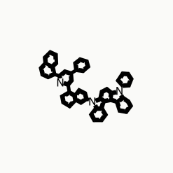 c1ccc(-c2cc(-c3cccc4ccccc34)nc(-c3cccc4cc(-n5c6ccccc6c6c7c8ccccc8n(-c8ccccc8)c7ccc65)ccc34)c2)cc1